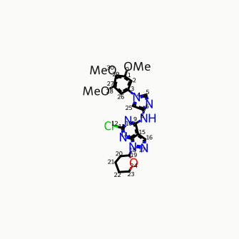 COc1cc(-n2cnc(Nc3nc(Cl)nc4c3cnn4C3CCCCO3)c2)cc(OC)c1OC